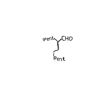 CCCC(C)CC=C(C=O)C(C)CCC